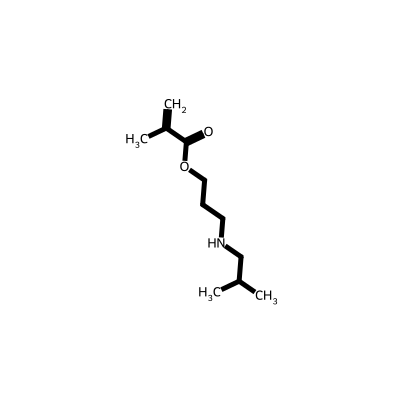 C=C(C)C(=O)OCCCNCC(C)C